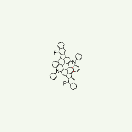 Fc1c2c(cc3ccccc13)-c1cc(N(c3ccccc3)c3ccccc3)c3c4ccc5c6c(cc(N(c7ccccc7)c7ccccc7)c(c7ccc-2c1c73)c64)-c1c-5cc2ccccc2c1F